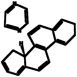 C1=CC[C@@H]2C(=C1)C=Cc1c2ccc2c1=CCCC=2.c1cnccn1